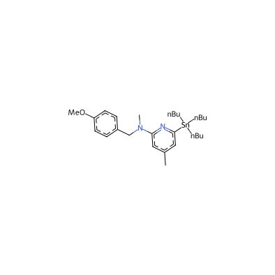 CCC[CH2][Sn]([CH2]CCC)([CH2]CCC)[c]1cc(C)cc(N(C)Cc2ccc(OC)cc2)n1